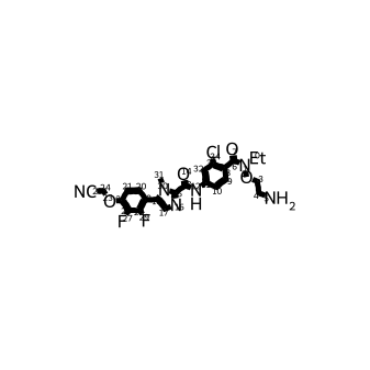 CCN(OCCN)C(=O)c1ccc(NC(=O)c2ncc(-c3ccc(OCC#N)c(F)c3F)n2C)cc1Cl